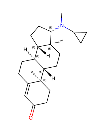 CN(C1CC1)[C@H]1CC[C@H]2[C@@H]3CCC4=CC(=O)CC[C@]4(C)[C@H]3CC[C@]12C